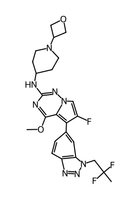 COc1nc(NC2CCN(C3COC3)CC2)nn2cc(F)c(-c3ccc4nnn(CC(C)(F)F)c4c3)c12